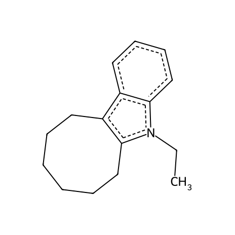 CCn1c2c(c3ccccc31)CCCCCC2